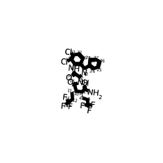 NC(=O)[C@H](CCC(F)(F)F)[C@H](CCC(F)(F)F)C(=O)N[C@H]1N=C(c2ccccc2)c2ccc(Cl)c(Cl)c2NC1=O